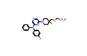 O=C(O)COCC1(F)CCN(c2cncc(N(c3ccccc3)c3ccc(F)cc3)n2)CC1